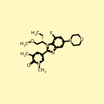 CC[C@@H](COC)n1c(-c2cc(C)c(=O)n(C)c2)nc2cc(N3CCOCC3)cc(F)c21